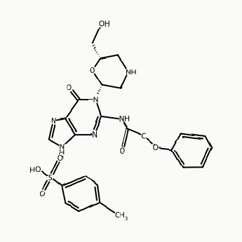 Cc1ccc(S(=O)(=O)O)cc1.O=C(COc1ccccc1)Nc1nc2[nH]cnc2c(=O)n1[C@H]1CNC[C@@H](CO)O1